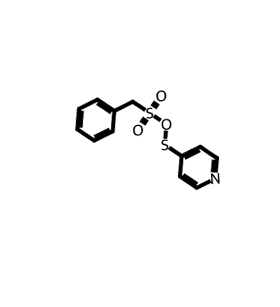 O=S(=O)(Cc1ccccc1)OSc1ccncc1